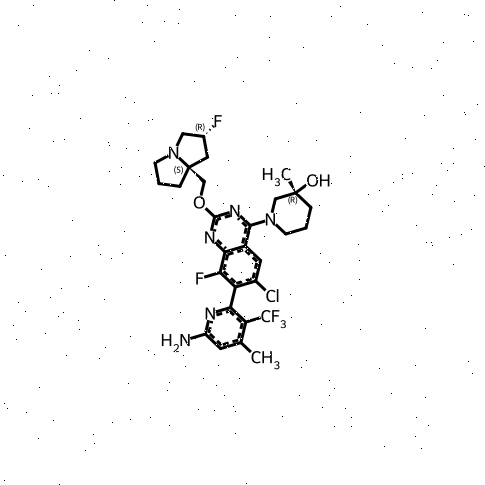 Cc1cc(N)nc(-c2c(Cl)cc3c(N4CCC[C@@](C)(O)C4)nc(OC[C@@]45CCCN4C[C@H](F)C5)nc3c2F)c1C(F)(F)F